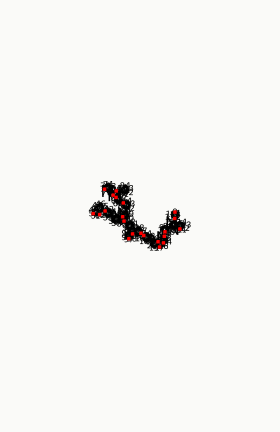 c1ccc(-c2nc(-c3cccc(-c4ccc5ccc6ccc(-c7ccc(-c8ccc9c%10ccc(-c%11cc%12ccc(-c%13ccc(-c%14cccc%15ccccc%14%15)cc%13)nc%12c%12nc(-c%13cccc(-c%14ccc%15nc(-c%16ccccn%16)nc(-c%16ccccc%16)c%15c%14)c%13)ccc%11%12)cc%10c%10ccccc%10c9c8)cc7)nc6c5n4)c3)nc3ccccc23)cc1